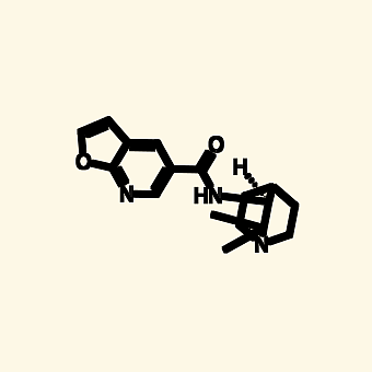 CC1(C)[C@@H](NC(=O)c2cnc3occc3c2)C2CCN1CC2